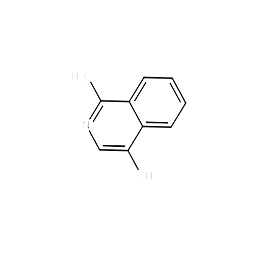 [CH2]c1ncc(C)c2ccccc12